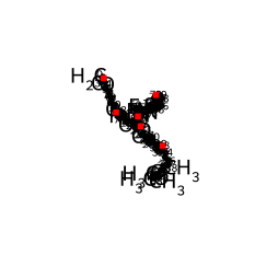 C=CC(=O)OCCCCCCOc1ccc(C(=O)Oc2ccc(OC(=O)c3ccc(C4CCC(CCCC(C)CCOC(=O)C(C)(C)C)CC4)cc3)cc2/C=N/N(CC(F)(F)F)c2nc3ccc4ccccc4c3s2)cn1